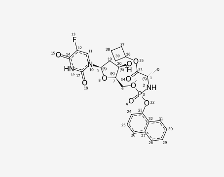 C[C@H](NP(=O)(OC[C@H]1O[C@@H](n2cc(F)c(=O)[nH]c2=O)C[C@H]1O)Oc1cccc2ccccc12)C(=O)OC1CCC1